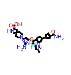 Cc1ccn(-c2cc(-c3ccc(C(N)=O)cc3)ccc2[C@@H](Oc2cc(N3CCC4(CC3)CN[C@H](C(=O)O)C4)nc(N)n2)C(F)(F)F)n1